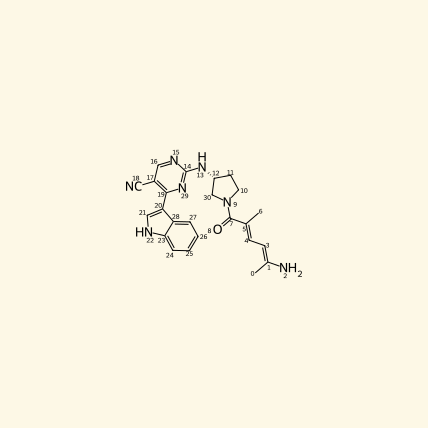 C/C(N)=C\C=C(/C)C(=O)N1CC[C@@H](Nc2ncc(C#N)c(-c3c[nH]c4ccccc34)n2)C1